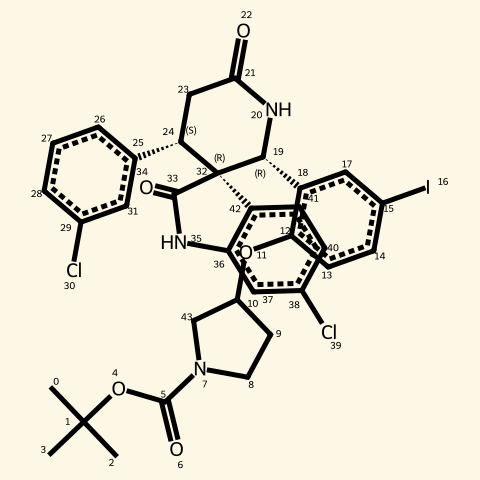 CC(C)(C)OC(=O)N1CCC(Oc2ccc(I)cc2[C@H]2NC(=O)C[C@@H](c3cccc(Cl)c3)[C@]23C(=O)Nc2cc(Cl)ccc23)C1